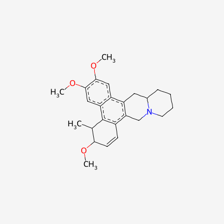 COc1cc2c3c(c4c(c2cc1OC)C(C)C(OC)C=C4)CN1CCCCC1C3